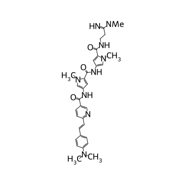 CNC(=N)CCNC(=O)c1cc(NC(=O)c2cc(NC(=O)c3ccc(/C=C/c4ccc(N(C)C)cc4)nc3)cn2C)cn1C